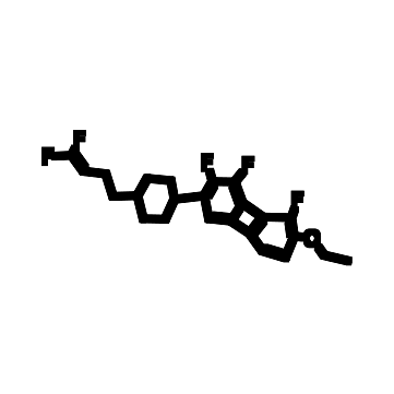 CCOc1ccc2c(c1F)-c1c-2cc(C2CCC(CCC=C(F)F)CC2)c(F)c1F